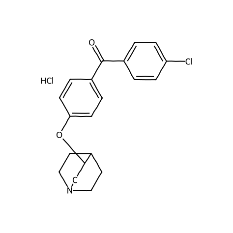 Cl.O=C(c1ccc(Cl)cc1)c1ccc(OC2CN3CCC2CC3)cc1